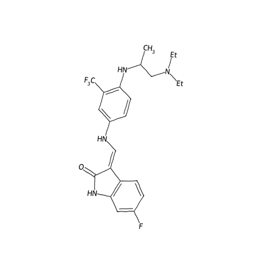 CCN(CC)CC(C)Nc1ccc(NC=C2C(=O)Nc3cc(F)ccc32)cc1C(F)(F)F